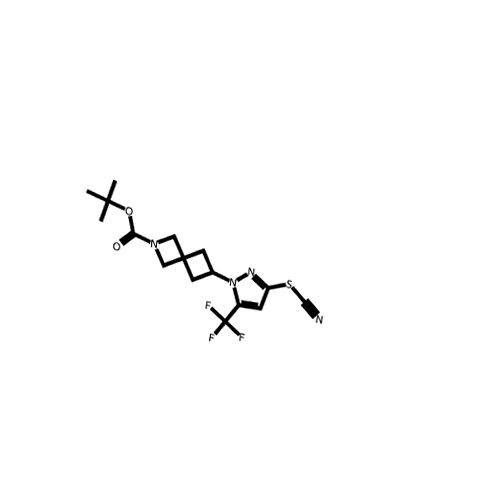 CC(C)(C)OC(=O)N1CC2(CC(n3nc(SC#N)cc3C(F)(F)F)C2)C1